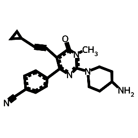 Cn1c(N2CCC(N)CC2)nc(-c2ccc(C#N)cc2)c(C#CC2CC2)c1=O